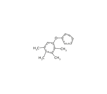 Cc1cc(Oc2ccccc2)c(C)c(C)c1C